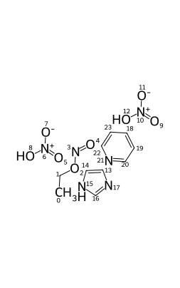 CCON=O.O=[N+]([O-])O.O=[N+]([O-])O.c1c[nH]cn1.c1ccncc1